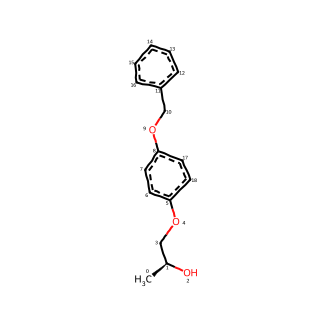 C[C@H](O)COc1ccc(OCc2ccccc2)cc1